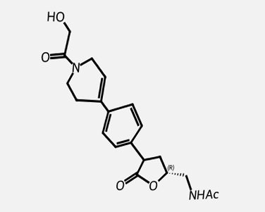 CC(=O)NC[C@H]1CC(c2ccc(C3=CCN(C(=O)CO)CC3)cc2)C(=O)O1